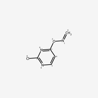 C=NOc1ccnc(Cl)n1